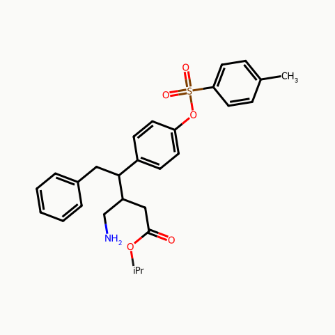 Cc1ccc(S(=O)(=O)Oc2ccc(C(Cc3ccccc3)C(CN)CC(=O)OC(C)C)cc2)cc1